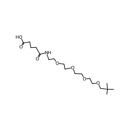 CC(C)(C)COCCOCCOCCOCCNC(=O)CCCC(=O)O